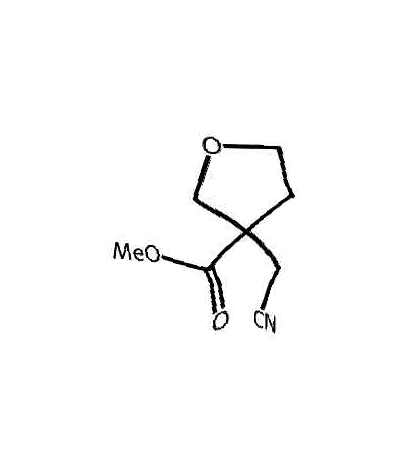 COC(=O)C1(CC#N)CCOC1